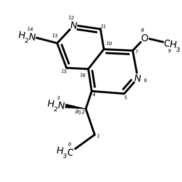 CC[C@@H](N)c1cnc(OC)c2cnc(N)cc12